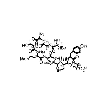 CC[C@H](C)[C@H](N)C(=O)N[C@@H](C)C(=O)N[C@H](C(=O)N[C@H](C(=O)N[C@@H](CCSC)C(=O)N[C@H](C(=O)N[C@@H](C)C(=O)N[C@@H](CC(C)C)C(=O)N[C@@H](Cc1ccc(O)cc1)C(=O)N[C@@H](C)C(=O)O)[C@@H](C)CC)[C@@H](C)O)C(C)C